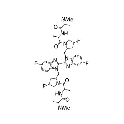 CN[C@H](C)C(=O)N[C@H](C)C(=O)N1CC(F)C[C@H]1Cn1c(-c2nc3cc(F)ccc3n2C[C@@H]2CC(F)CN2C(=O)[C@@H](C)NC(=O)[C@@H](C)NC)nc2cc(F)ccc21